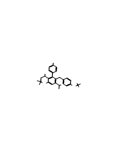 CC(C)c1cc2c(c(-c3ccc(F)cc3)c1Cc1ccc(OC(F)(F)F)cc1)C(O)CC(C)(C)O2